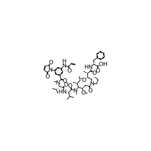 C=CC(=O)Nc1cc(C(=O)N(C)[C@H](C(=O)N[C@H](C(=O)N(C)[C@@H]([C@@H](C)CC)[C@@H](CC(=O)N2CCC[C@H]2[C@H](OC)[C@@H](C)C(=O)N[C@@H](Cc2ccccc2)C(=O)O)OC)C(C)C)C(C)C)cc(N2C(=O)C=CC2=O)c1